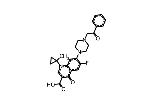 CC1(n2cc(C(=O)O)c(=O)c3cc(F)c(N4CCN(CC(=O)c5ccccc5)CC4)cc32)CC1